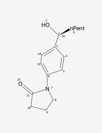 CCCCC[C@H](O)c1ccc(N2CCCC2=O)cc1